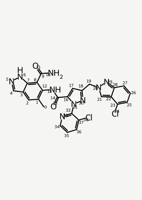 Cc1cc2cn[nH]c2c(C(N)=O)c1NC(=O)c1cc(Cn2cc3c(Cl)cccc3n2)nn1-c1ncccc1Cl